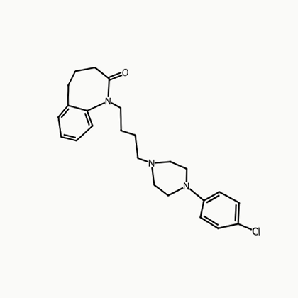 O=C1CCCc2ccccc2N1CCCCN1CCN(c2ccc(Cl)cc2)CC1